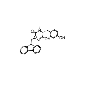 CN(C(=O)OCC1c2ccccc2-c2ccccc21)[C@H](Cc1ccc(O)cc1)C(=O)O